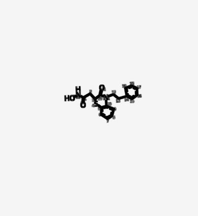 O=C(CC1Sc2ccccc2N(CCc2ccccc2)C1=O)NO